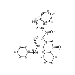 O=[C]CN(C(=O)C(=O)c1c[nH]c2ccccc12)C(C(=O)NC1CCCCC1)C1CCCCC1